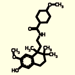 COc1cc2c(cc1O)CCC(C)(C)C2(C)CCNC(=O)C1CCC(OC)CC1